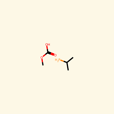 CC(C)P.COC(=O)O